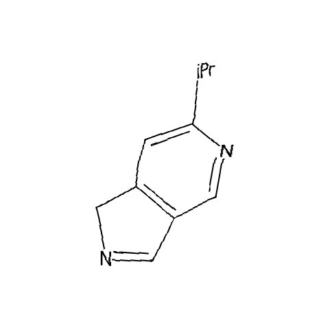 CC(C)c1cc2c(cn1)C=NC2